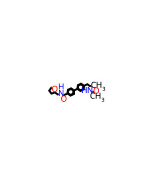 CC(=O)NC(C)Cc1ccc(-c2ccc(C(=O)NCC3CCCO3)cc2)cc1